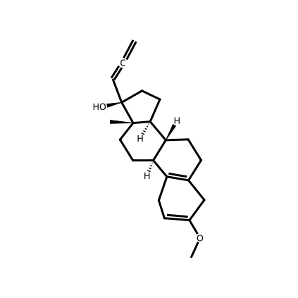 C=C=C[C@]1(O)CC[C@H]2[C@@H]3CCC4=C(CC=C(OC)C4)[C@H]3CC[C@@]21C